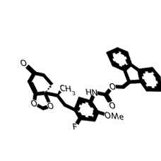 COc1cc(F)c(C[C@H](C)[C@]23CCC(=O)C=C2OCO3)cc1NC(=O)OCC1c2ccccc2-c2ccccc21